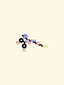 COc1ccc2c(c1)C(c1ccc(Cl)cc1)=N[C@@H](CC(=O)NCCCOCCCS)c1nnc(C)n1-2